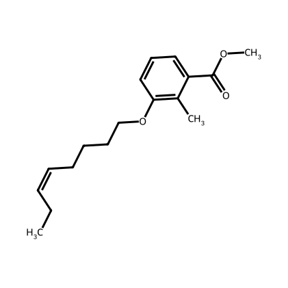 CC/C=C\CCCCOc1cccc(C(=O)OC)c1C